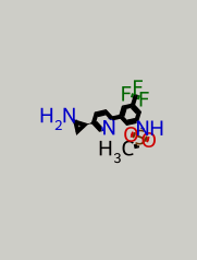 CCS(=O)(=O)Nc1cc(-c2ccc([C@@H]3C[C@H]3N)cn2)cc(C(F)(F)F)c1